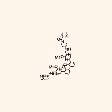 C=C1CC[C@@H](CNCc2ncc(-c3cccc(-c4cccc(-c5cnc(CNC6CCN(C(=O)C(/C=C\C)=C/C)CC6)c(OC)n5)c4Cl)c3Cl)nc2OC)N1